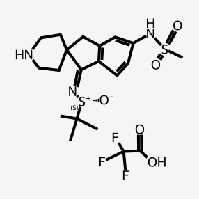 CC(C)(C)[S@@+]([O-])N=C1c2ccc(NS(C)(=O)=O)cc2CC12CCNCC2.O=C(O)C(F)(F)F